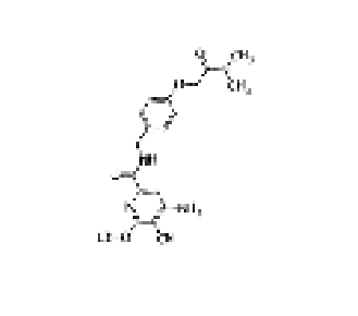 CCOc1nc(C(=O)NCc2ccc(OCC(=O)N(C)C)cc2)cc(N)c1C#N